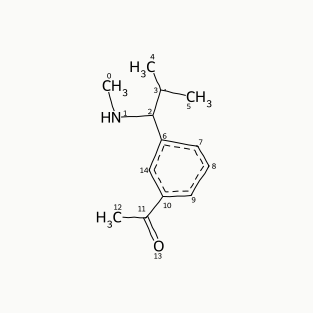 CNC([C](C)C)c1cccc(C(C)=O)c1